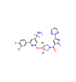 Cn1nc(-c2ncccn2)cc1C(=O)N1C[C@@H]2[C@H](C1)[C@@H]2Oc1cc(C(C)(C)N)cc(-c2ccc(F)c(Cl)c2)n1